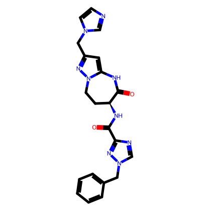 O=C(N[C@H]1CCn2nc(Cn3ccnc3)cc2NC1=O)c1ncn(Cc2ccccc2)n1